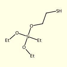 CCO[Si](CC)(OCC)OCCS